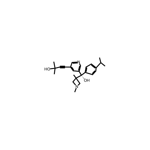 CC(C)c1ccc([C@](O)(c2cncc(C#CC(C)(C)O)c2)C2(C)CN(C)C2)cc1